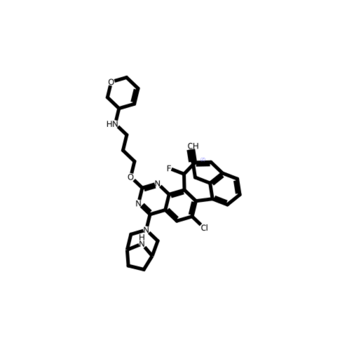 C#CCc1c2cccc1-c1c(Cl)cc3c(N4CC5CCC(C4)N5)nc(OCCCNC4C=CCOC4)nc3c1C(F)/C=C\2